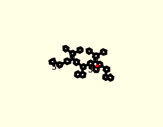 c1ccc(-c2cc(-c3ccccc3)cc(N(c3ccc(-c4cc(-c5cccc6ccccc56)cc(-c5ccc(N(c6ccc(-c7cccc(-c8cccc9ccccc89)c7)cc6)c6cc(-c7ccccc7)cc(-c7ccccc7)c6)c6c5sc5ccccc56)c4)cc3)c3ccc(-c4ccc5sc6ccccc6c5c4)cc3)c2)cc1